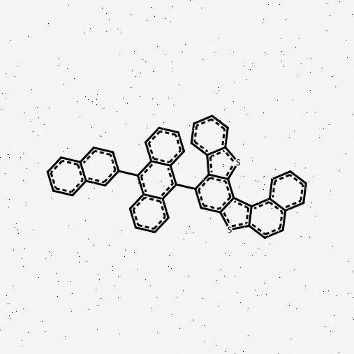 c1ccc2cc(-c3c4ccccc4c(-c4cc5sc6ccc7ccccc7c6c5c5sc6ccccc6c45)c4ccccc34)ccc2c1